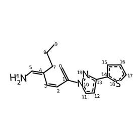 C=C(/C=C\C(=C/N)CCC)n1ccc(-c2cccs2)n1